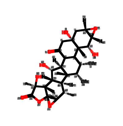 CC(=O)O[C@H]1C2C(C(=O)C[C@@]3(O)C[C@@H]4O[C@@H]4[C@H](O)[C@]23C)[C@@H]2[C@@H](O)[C@@H]3[C@H]([C@H](C)[C@H]4O[C@]45OC(=O)[C@@](C)(O)[C@]35C)[C@@]2(C)[C@H]1OC(C)=O